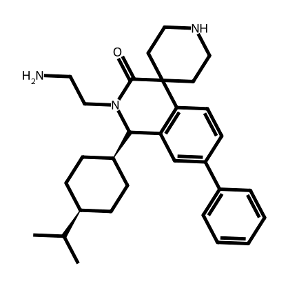 CC(C)[C@H]1CC[C@@H](C2c3cc(-c4ccccc4)ccc3C3(CCNCC3)C(=O)N2CCN)CC1